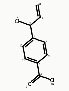 C=CC(Cl)c1ccc(C(=O)Cl)cc1